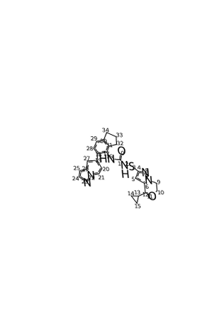 O=C(NSc1cc2n(n1)CCOC2C1CC1)Nc1c(-c2ccn3nccc3c2)ccc2c1CCC2